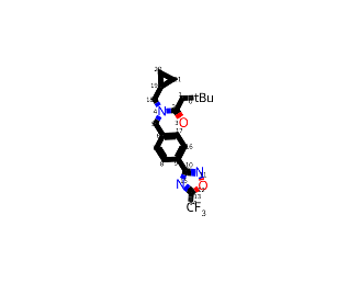 CC(C)(C)CC(=O)N(Cc1ccc(-c2noc(C(F)(F)F)n2)cc1)CC1CC1